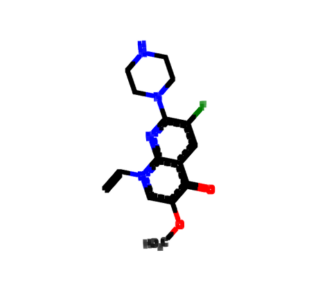 C=Cn1cc(OC(=O)O)c(=O)c2cc(F)c(N3CCNCC3)nc21